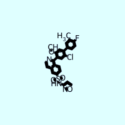 COc1cc(-c2ccc(F)c(C)c2)c(Cl)cc1-c1nccc2cc(S(=O)(=O)Nc3ccon3)ccc12